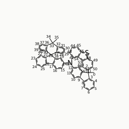 CC1(C)c2ccccc2-c2ccc(N(c3ccc4c(c3)C3(c5ccccc5-4)c4ccccc4C(C)(C)c4ccccc43)c3cccc4sc5ccccc5c34)cc21